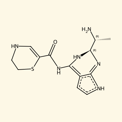 C[C@@H](N)[C@H]1N=c2[nH]ccc2=C(NC(=O)C2=CNCCS2)N1